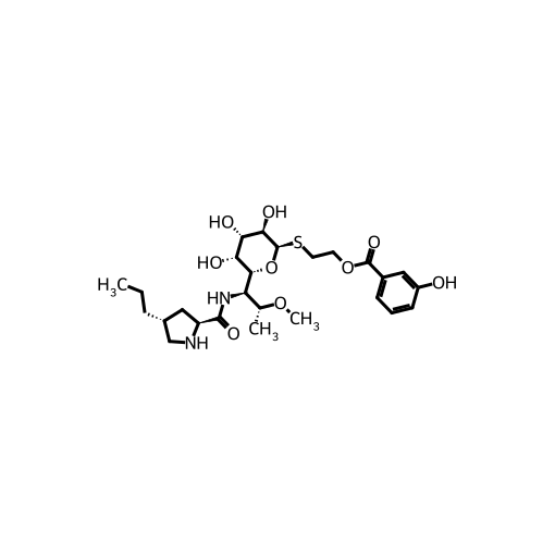 CCC[C@H]1CN[C@H](C(=O)N[C@@H]([C@H]2O[C@H](SCCOC(=O)c3cccc(O)c3)[C@H](O)[C@@H](O)[C@H]2O)[C@@H](C)OC)C1